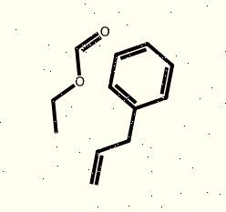 C=CCc1ccccc1.CCOC=O